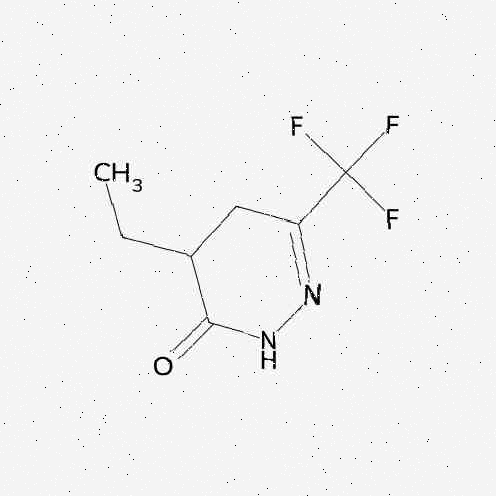 CCC1CC(C(F)(F)F)=NNC1=O